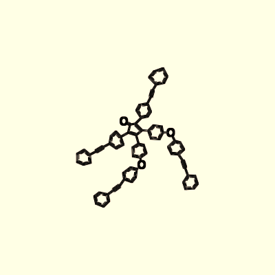 O=C1C(c2ccc(C#Cc3ccccc3)cc2)=C(c2ccc(Oc3ccc(C#Cc4ccccc4)cc3)cc2)C(c2ccc(Oc3ccc(C#Cc4ccccc4)cc3)cc2)=C1c1ccc(C#Cc2ccccc2)cc1